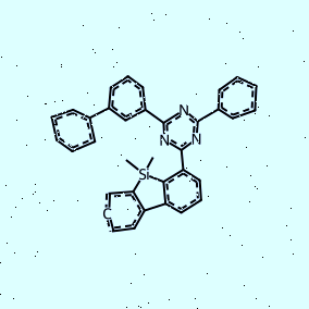 C[Si]1(C)c2ccccc2-c2cccc(-c3nc(-c4ccccc4)nc(-c4cccc(-c5ccccc5)c4)n3)c21